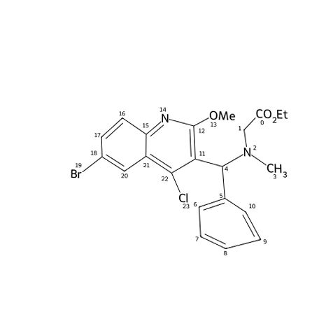 CCOC(=O)CN(C)C(c1ccccc1)c1c(OC)nc2ccc(Br)cc2c1Cl